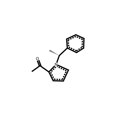 CC(=O)c1cccn1[C@H](C)c1ccccc1